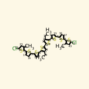 CCc1cc(-c2cc(CC)c(-c3ccc(-c4ccc(-c5sc(Cl)cc5C)s4)s3)s2)sc1-c1ccc(-c2ccc(-c3sc(Cl)cc3C)s2)s1